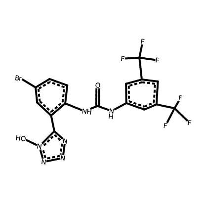 O=C(Nc1cc(C(F)(F)F)cc(C(F)(F)F)c1)Nc1ccc(Br)cc1-c1nnnn1O